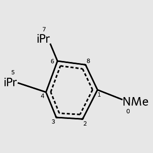 CNc1ccc(C(C)C)c(C(C)C)c1